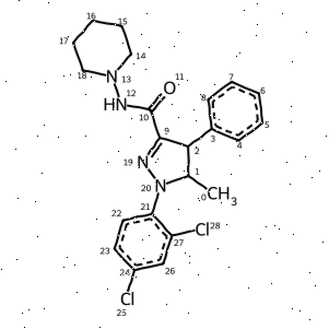 CC1C(c2ccccc2)C(C(=O)NN2CCCCC2)=NN1c1ccc(Cl)cc1Cl